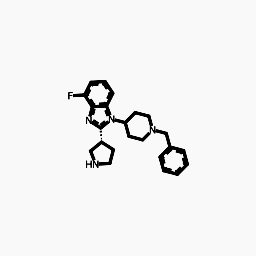 Fc1cccc2c1nc([C@@H]1CCNC1)n2C1CCN(Cc2ccccc2)CC1